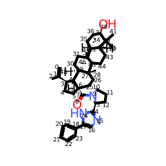 C=C(C)[C@@H]1CC[C@]2(C(=O)N3CCC[C@H]3c3ncc(-c4ccccc4)[nH]3)CC[C@]3(C)[C@H](CC[C@@H]4[C@@]5(C)CC[C@H](O)C(C)(C)[C@@H]5CC[C@]43C)[C@@H]12